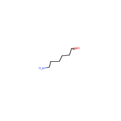 NCCCCC[C]=O